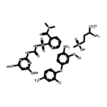 CCOc1cc(Oc2ccc(C(F)(F)F)cc2Cl)ccc1[N+](=O)[O-].COc1cc(OC)nc(NC(=O)NS(=O)(=O)c2ncccc2C(=O)N(C)C)n1.CP(=O)(O)CCC(N)C(=O)O